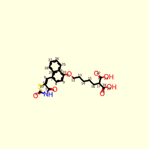 O=C1NC(=O)C(=Cc2ccc(OCCCCCC(C(=O)O)C(=O)O)c3ccccc23)S1